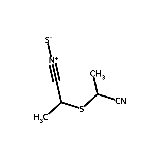 CC(C#N)SC(C)C#[N+][S-]